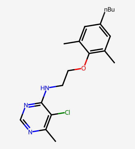 CCCCc1cc(C)c(OCCNc2ncnc(C)c2Cl)c(C)c1